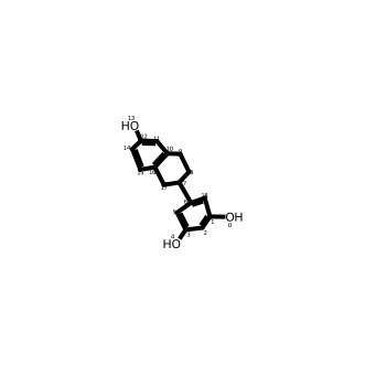 Oc1cc(O)cc(C2CCc3cc(O)ccc3C2)c1